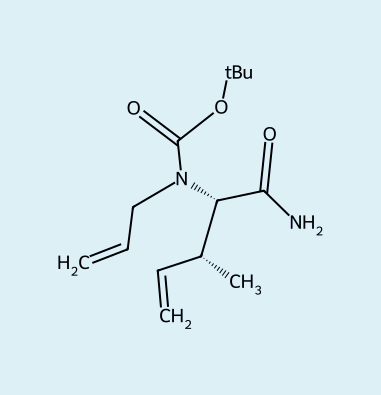 C=CCN(C(=O)OC(C)(C)C)[C@H](C(N)=O)[C@H](C)C=C